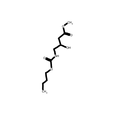 CCCCOC(=O)NCC(O)CC(=O)OC